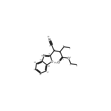 CCOC(=O)C(CC)C(C#N)c1nc2ccccc2o1